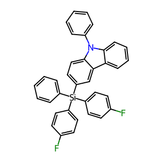 Fc1ccc([Si](c2ccccc2)(c2ccc(F)cc2)c2ccc3c(c2)c2ccccc2n3-c2ccccc2)cc1